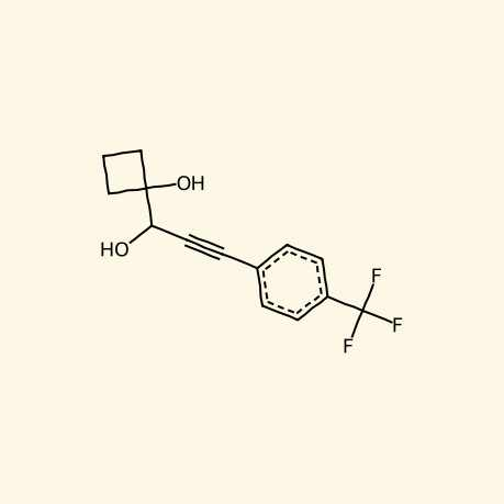 OC(C#Cc1ccc(C(F)(F)F)cc1)C1(O)CCC1